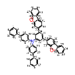 c1ccc(-c2ccc(N(c3ccc(-c4ccccc4)cc3)c3cc(-c4ccc5c(c4)oc4ccccc45)cc(-c4ccc5c(c4)oc4ccccc45)c3)cc2)cc1